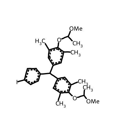 COC(C)Oc1c(C)cc(C(c2ccc(I)cc2)c2cc(C)c(OC(C)OC)c(C)c2)cc1C